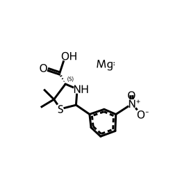 CC1(C)SC(c2cccc([N+](=O)[O-])c2)N[C@H]1C(=O)O.[Mg]